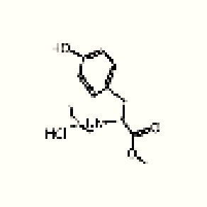 COC.COC(=O)[C@@H](N)Cc1ccc(O)cc1.Cl